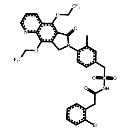 Cc1cc(CS(=O)(=O)NC(=O)Cc2ccccc2Br)ccc1N1Cc2c(c(OCC(F)(F)F)c3cccnc3c2OCC(F)(F)F)C1=O